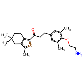 Cc1cc(CCC(=O)c2sc(C)c3c2CCC(C)(C)C3)cc(C)c1OCCN